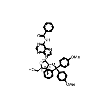 COc1ccc(C(O[C@@H]2[C@H](F)[C@@H](CO)O[C@H]2n2cnc3c(NC(=O)c4ccccc4)ncnc32)(c2ccccc2)c2ccc(OC)cc2)cc1